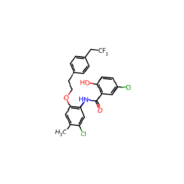 Cc1cc(OCCc2ccc(CC(F)(F)F)cc2)c(NC(=O)c2cc(Cl)ccc2O)cc1Cl